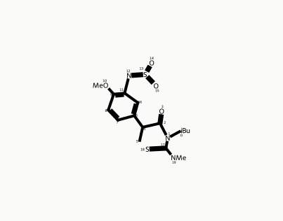 CCC(C)N(C(=O)C(C)c1ccc(OC)c(N=S(=O)=O)c1)C(=S)NC